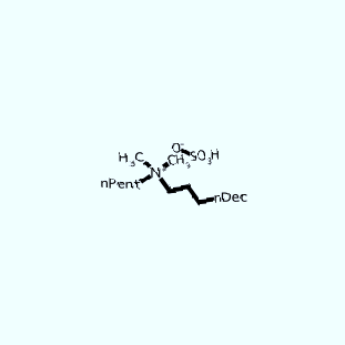 CCCCCCCCCCCCC[N+](C)(C)CCCCC.O=S(=O)([O-])O